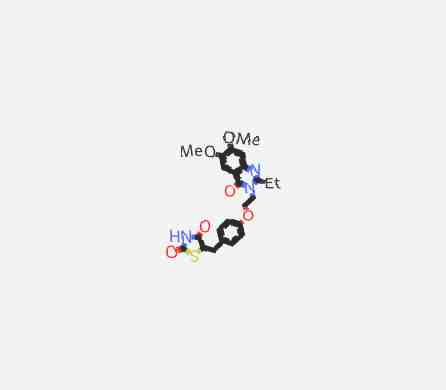 CCc1nc2cc(OC)c(OC)cc2c(=O)n1CCOc1ccc(CC2SC(=O)NC2=O)cc1